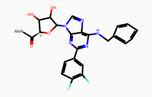 CNC(=O)[C@@H]1OC(n2cnc3c(NCc4ccccc4)nc(-c4ccc(F)c(F)c4)nc32)C(O)C1O